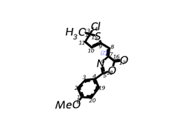 COc1ccc(C2=N/C(=C\C3=CCC(C)(Cl)S3)C(=O)O2)cc1